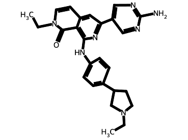 CCN1CCC(c2ccc(Nc3nc(-c4cnc(N)nc4)cc4ccn(CC)c(=O)c34)cc2)C1